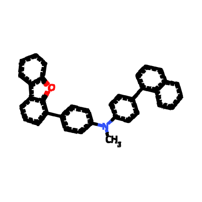 CN(c1ccc(-c2cccc3ccccc23)cc1)c1ccc(-c2cccc3c2oc2ccccc23)cc1